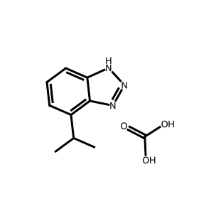 CC(C)c1cccc2[nH]nnc12.O=C(O)O